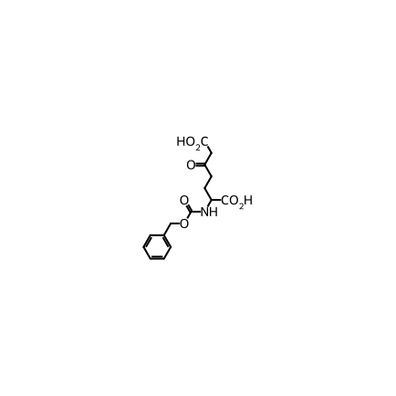 O=C(O)CC(=O)CCC(NC(=O)OCc1ccccc1)C(=O)O